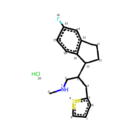 CNCC(Cc1cccs1)C1CCc2cc(F)ccc21.Cl